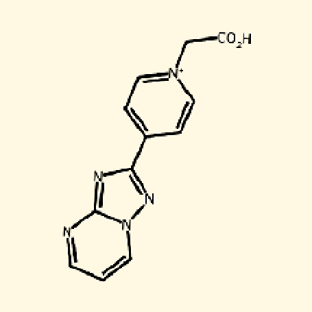 O=C(O)C[n+]1ccc(-c2nc3ncccn3n2)cc1